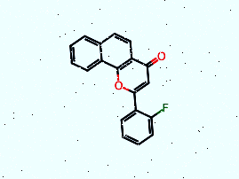 O=c1cc(-c2ccccc2F)oc2c1ccc1ccccc12